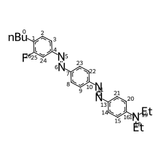 CCCCc1ccc(/N=N/c2ccc(/N=N/c3ccc(N(CC)CC)cc3)cc2)cc1F